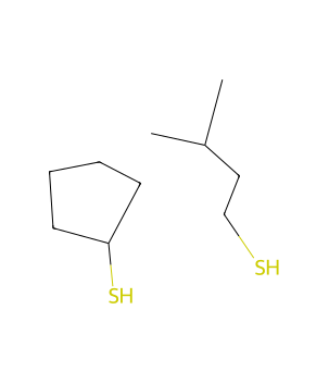 CC(C)CCS.SC1CCCC1